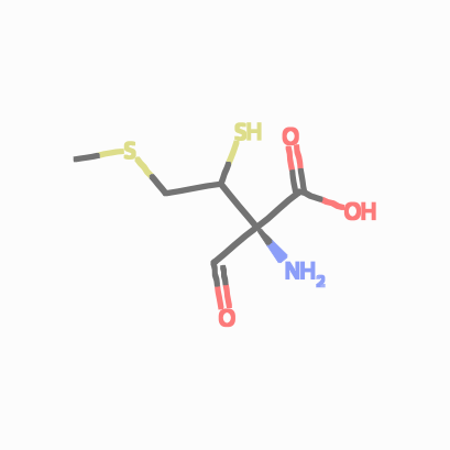 CSCC(S)[C@@](N)(C=O)C(=O)O